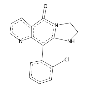 O=c1c2cccnc2c(-c2ccccc2Cl)c2n1CCN2